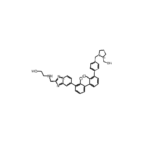 OCCNCc1nc2cc(-c3cccc(-c4cccc(-c5ccc(CN6CCC[C@H]6CO)cc5)c4Cl)c3Cl)ccn2n1